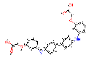 O=C(O)COc1cccc(Nc2ccc(-c3ccc(Nc4cccc(OCC(=O)O)c4)cc3)cc2)c1